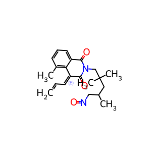 C=C/C=C1/C(=O)N(CC(C)(C)CC(C)CN=O)C(=O)c2cccc(C)c21